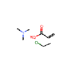 C=CC(=O)O.CCCl.CN(C)C